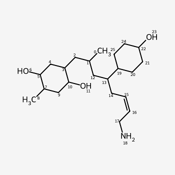 CC(CC1CC(O)C(C)CC1O)CC(C/C=C\CN)C1CCC(O)CC1